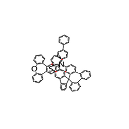 c1ccc(-c2ccc(N(c3ccc4c(c3)-c3ccccc3Oc3ccccc3-4)c3ccc4c(c3)C3(c5ccccc5-c5ccccc5-4)c4ccccc4-c4cc5sc6ccccc6c5cc43)cc2)cc1